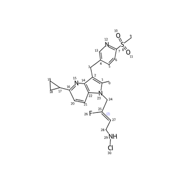 Cc1c(Cc2ccc(S(C)(=O)=O)nc2)c2nc(C3CC3)ccc2n1C/C(F)=C/CNCl